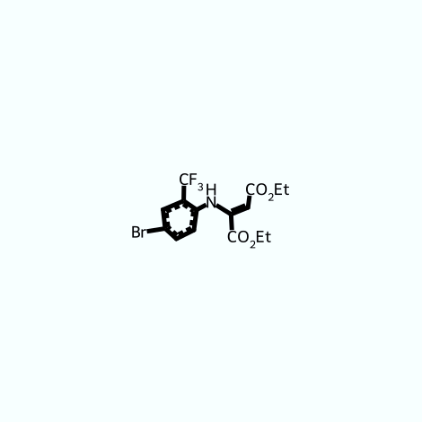 CCOC(=O)/C=C(\Nc1ccc(Br)cc1C(F)(F)F)C(=O)OCC